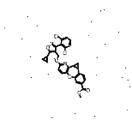 COC(=O)c1ccc2c(c1)Oc1ccc(OCc3c(-c4c(Cl)cccc4Cl)noc3C3CC3)nc1C1CC21